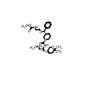 CNC[C@H](C[C@H]1CCC(C)(C)OC1)NC(=O)N1CCC[C@@H](C(OCCNC(=O)OC)c2ccccc2)C1